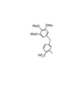 COc1cc(Cc2ccc(C(=O)O)c(C)c2)cc(OC)c1OC